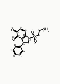 NCCS(=O)(=O)n1cc(-c2ccccc2)c2c1C=CC(=O)C2=O